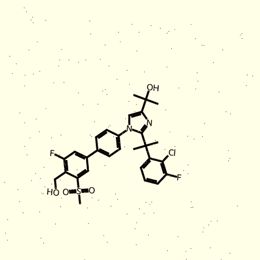 CC(C)(O)c1cn(-c2ccc(-c3cc(F)c(CO)c(S(C)(=O)=O)c3)cc2)c(C(C)(C)c2cccc(F)c2Cl)n1